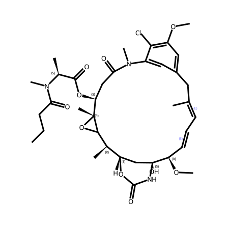 CCCC(=O)N(C)[C@@H](C)C(=O)O[C@H]1CC(=O)N(C)c2cc(cc(OC)c2Cl)C/C(C)=C/C=C/[C@@H](OC)[C@@]2(O)C[C@H](OC(=O)N2)[C@@H](C)C2O[C@@]21C